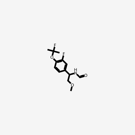 COCC(NC=O)c1ccc(OC(C)(C)F)c(F)c1